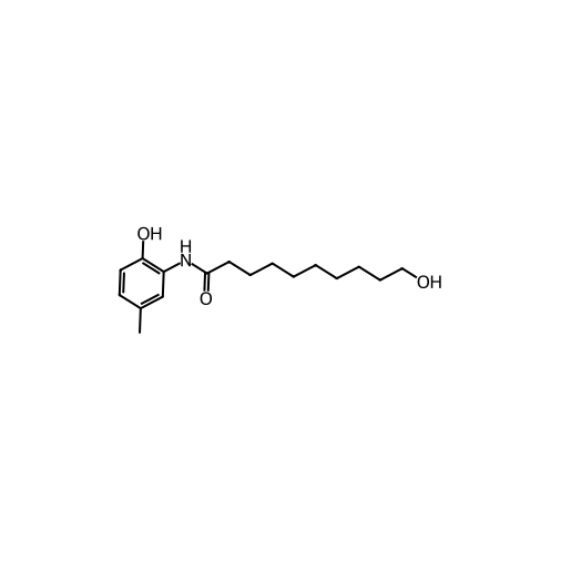 Cc1ccc(O)c(NC(=O)CCCCCCCCCO)c1